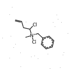 C=CCC(Cl)[N+](C)(Cl)Cc1ccccc1